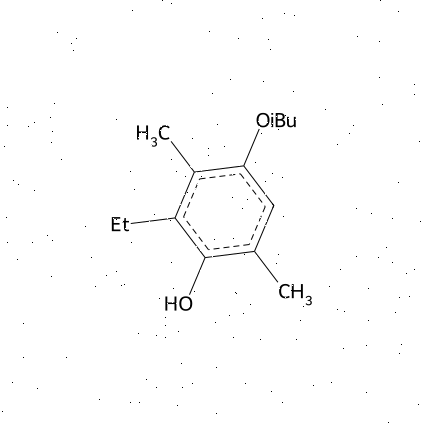 CCc1c(C)c(OCC(C)C)cc(C)c1O